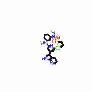 O=S(=O)(NC1CCCC(Nc2cc(-c3c[nH]c4ncccc34)cc(Cl)n2)C1)c1cccs1